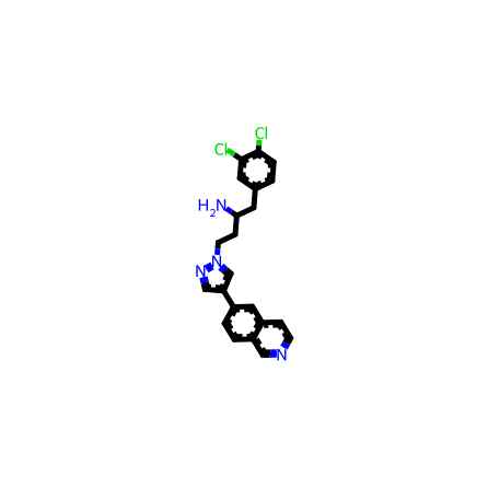 NC(CCn1cc(-c2ccc3cnccc3c2)cn1)Cc1ccc(Cl)c(Cl)c1